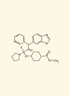 COC(=O)C1CCC(OC(F)(C(=O)C(c2cccnc2)c2ccc3ncoc3c2)N2CCCC2)CC1